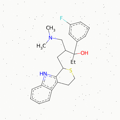 CCC(O)(c1cccc(F)c1)C(CC1SCCc2c1[nH]c1ccccc21)CN(C)C